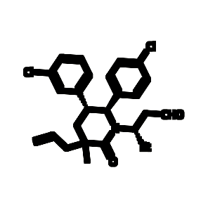 C=CCC1(C)C[C@H](c2cccc(Cl)c2)[C@@H](c2ccc(Cl)cc2)N([C@@H](CC)CC=O)C1=O